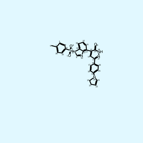 Cc1ccc(S(=O)(=O)n2cnc3c(-c4cc(-c5ccc(N6C=CCC6)cc5)n[nH]c4=O)cccc32)cc1